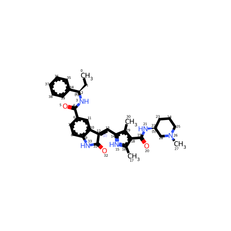 CC[C@@H](NC(=O)c1ccc2c(c1)/C(=C/c1[nH]c(C)c(C(=O)N[C@H]3CCCN(C)C3)c1C)C(=O)N2)c1ccccc1